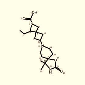 CCC1N(C(=O)O)CC12CC(N1CCC3(CC1)OC(=O)NC3(C)C)C2